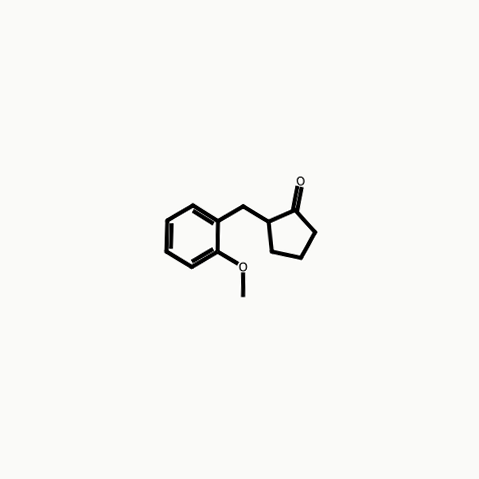 COc1ccccc1CC1CCCC1=O